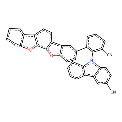 N#Cc1ccc2c(c1)c1ccccc1n2-c1c(C#N)cccc1-c1ccc2oc3c(ccc4c5ccccc5oc43)c2c1